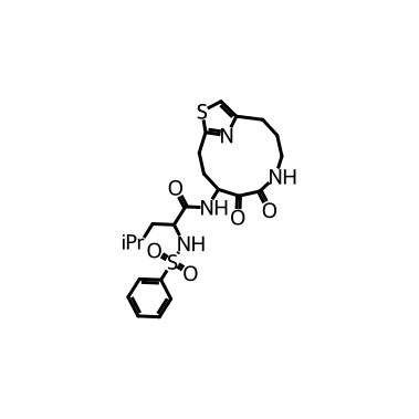 CC(C)CC(NS(=O)(=O)c1ccccc1)C(=O)NC1CCc2nc(cs2)CCCNC(=O)C1=O